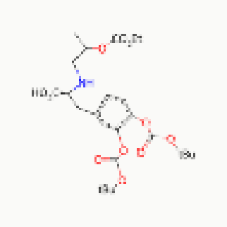 CCOC(=O)OC(C)CN[C@@H](Cc1ccc(OC(=O)OC(C)(C)C)c(OC(=O)OC(C)(C)C)c1)C(=O)O